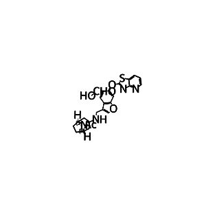 CC(=O)N1[C@@H]2CC[C@H]1CC(NCc1coc3cc(Oc4nc5ncccc5s4)ccc13)C2.O=CO